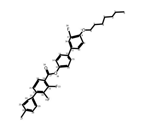 CCCCCCCOc1ccc(-c2ccc(OC(=O)c3ccc(-c4ccc(C)cc4)c(F)c3F)cc2)cc1F